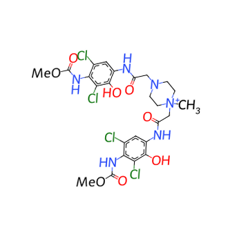 COC(=O)Nc1c(Cl)cc(NC(=O)CN2CC[N+](C)(CC(=O)Nc3cc(Cl)c(NC(=O)OC)c(Cl)c3O)CC2)c(O)c1Cl